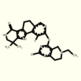 CCN1CCc2nc(Cl)nc(Oc3ncc4c(c3F)-c3[nH]c5c(c3CC4)C(=O)NCC5(C)C)c2C1